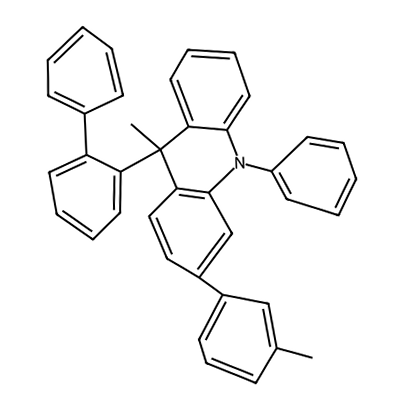 Cc1cccc(-c2ccc3c(c2)N(c2ccccc2)c2ccccc2C3(C)c2ccccc2-c2ccccc2)c1